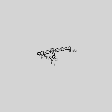 CCCCOC(=O)COC1CCN(C2CCN(C(=O)[C@@H](Cc3cc(Cl)c(N)c(C(F)(F)F)c3)OC(=O)N3CCC(N4CCc5ccccc5NC4=O)CC3)CC2)CC1